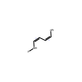 CCC/C=C\C=C/NF